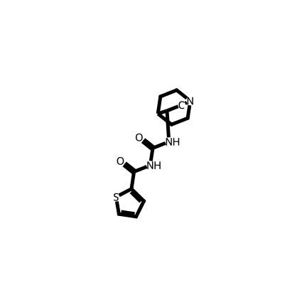 O=C(NC(=O)c1cccs1)NC1CN2CCC1CC2